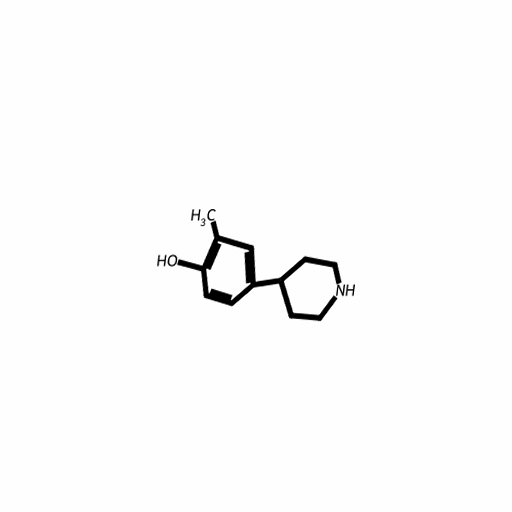 Cc1cc(C2CCNCC2)ccc1O